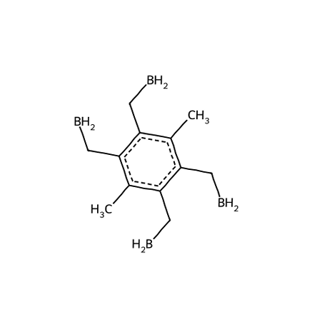 BCc1c(C)c(CB)c(CB)c(C)c1CB